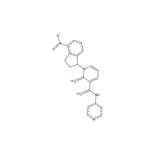 C=C(Nc1ccncc1)C1=CC=CN(C2CCc3c2cccc3[N+](=O)[O-])C1=C